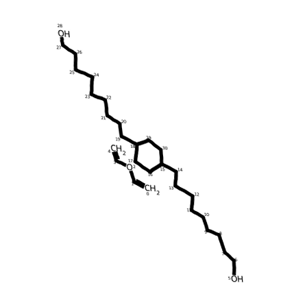 C=COC=C.OCCCCCCCCCC1CCC(CCCCCCCCCO)CC1